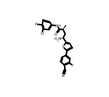 C[C@@H](C[C@@H](N)c1ccc(-c2ccc(C#N)c(F)c2)s1)C(=O)Nc1ccc(F)c(Cl)c1